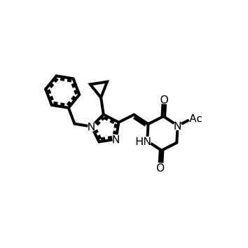 CC(=O)N1CC(=O)N/C(=C\c2ncn(Cc3ccccc3)c2C2CC2)C1=O